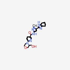 Cn1nc(NC(=O)c2ccc(N3CCOCC3CO)nc2)cc1-c1nc2ccccc2[nH]1